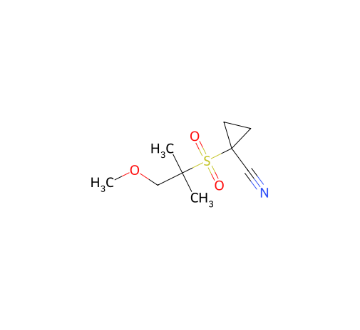 COCC(C)(C)S(=O)(=O)C1(C#N)CC1